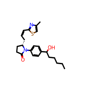 CCCCCC(O)c1ccc(N2C(=O)CC[C@@H]2C/C=C\c2nc(C)cs2)cc1